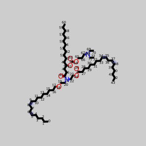 CCCCC/C=C\C/C=C\CCCCCCCCOCCN(CCOC(=O)CCCCCCC/C=C\C/C=C\CCCCC)C(=O)CCC(CCCCCCCCCCCC)OC(=O)OCCCN(CC)CC